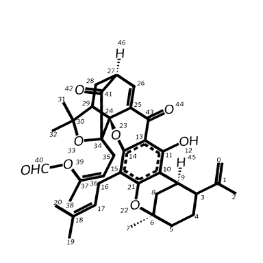 C=C(C)C1CC[C@]2(C)C[C@H]1c1c(O)c3c(c(CC=C(C)C)c1O2)O[C@]12C(=C[C@@H]4CC1C(C)(C)OC2(C/C=C(/C)OC=O)C4=O)C3=O